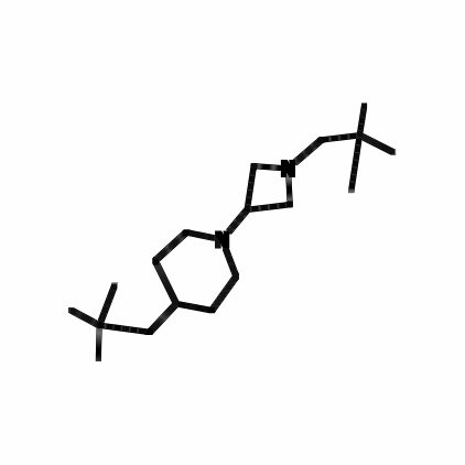 CC(C)(C)CC1CCN(C2CN(CC(C)(C)C)C2)CC1